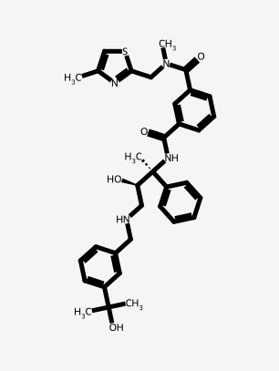 Cc1csc(CN(C)C(=O)c2cccc(C(=O)N[C@@](C)(c3ccccc3)[C@H](O)CNCc3cccc(C(C)(C)O)c3)c2)n1